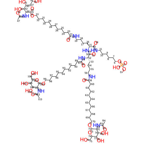 COP(=O)(O)OCCCCCCNC(=O)[C@H](CCCCNC(=O)CCCCCCCCCCCOC1OC(CO)C(O)C(O)C1NC(C)=O)NC(=O)[C@H](CCCCNC(=O)CCCCCCCCCCCOC1OC(CO)C(O)C(O)C1NC(C)=O)NC(=O)CCCCCCCCCCCOC1OC(CO)C(O)C(O)C1NC(C)=O